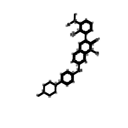 CCn1c(=O)c(-c2cccc([S+](C)[O-])c2C(F)(F)F)cc2cnc(Nc3ccc(N4CCN(C)CC4)cc3)nc21